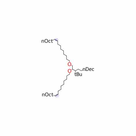 CCCCCCCC/C=C\CCCCCCCCOCC(OCCCCCCCC/C=C\CCCCCCCC)C(CCCCCCCCCCCC)C(C)(C)C